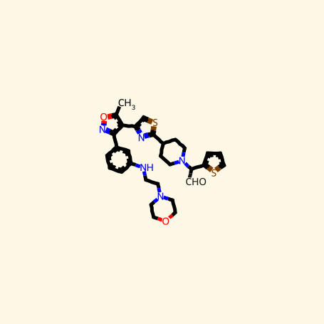 Cc1onc(-c2cccc(NCCN3CCOCC3)c2)c1-c1csc(C2CCN(C(C=O)c3cccs3)CC2)n1